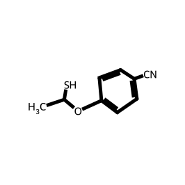 CC(S)Oc1ccc(C#N)cc1